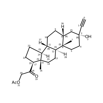 C#C[C@@]1(O)CC[C@@]2(C)[C@H](CC[C@@H]3[C@@H]2CC[C@]2(C)[C@@H](C(=O)COC(C)=O)CC[C@@H]32)C1